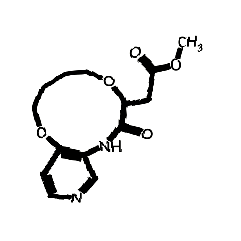 COC(=O)CC1OCCCCOc2ccncc2NC1=O